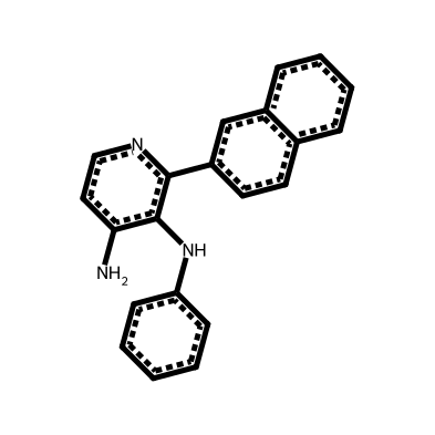 Nc1ccnc(-c2ccc3ccccc3c2)c1Nc1ccccc1